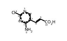 Nc1nc(Cl)ncc1/C=C/C(=O)O